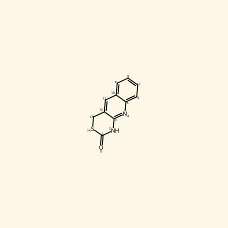 O=C1Nc2nc3c[c]ccc3cc2CS1